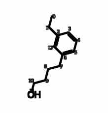 CCc1cccc(CCCCO)c1